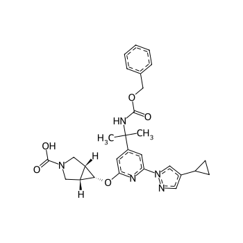 CC(C)(NC(=O)OCc1ccccc1)c1cc(O[C@@H]2[C@@H]3CN(C(=O)O)C[C@@H]32)nc(-n2cc(C3CC3)cn2)c1